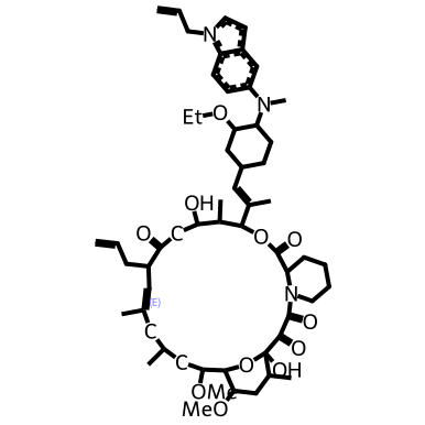 C=CCC1/C=C(\C)CC(C)CC(OC)C2OC(O)(C(=O)C(=O)N3CCCCC3C(=O)OC(C(C)=CC3CCC(N(C)c4ccc5c(ccn5CC=C)c4)C(OCC)C3)C(C)C(O)CC1=O)C(C)CC2OC